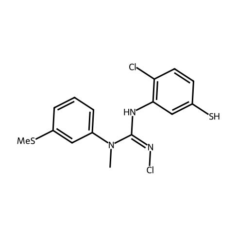 CSc1cccc(N(C)/C(=N\Cl)Nc2cc(S)ccc2Cl)c1